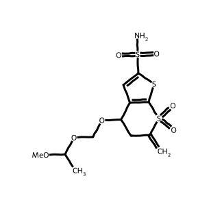 C=C1CC(OCOC(C)OC)c2cc(S(N)(=O)=O)sc2S1(=O)=O